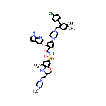 CN1CCN(CC[C@H]2COc3cc(S(=O)(=O)NC(=O)c4ccc(N5CCN(CC6=C(c7ccc(Cl)cc7)CC(C)(C)CC6)CC5)cc4Oc4cnc5[nH]ccc5c4)cc([N+](=O)[O-])c3N2)CC1